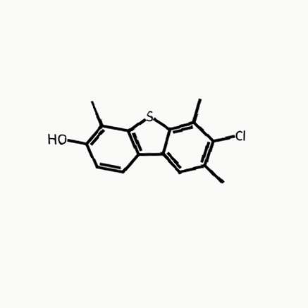 Cc1cc2c(sc3c(C)c(O)ccc32)c(C)c1Cl